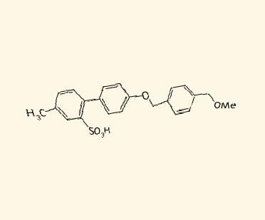 COCc1ccc(COc2ccc(-c3ccc(C)cc3S(=O)(=O)O)cc2)cc1